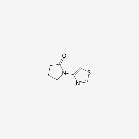 O=C1CCCN1c1cscn1